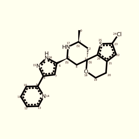 C[C@H]1C[C@@]2(C[C@@H](c3cc(-c4ccccn4)n[nH]3)N1)OCCc1cc(Cl)sc12